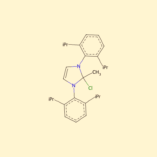 CC(C)c1cccc(C(C)C)c1N1C=CN(c2c(C(C)C)cccc2C(C)C)C1(C)Cl